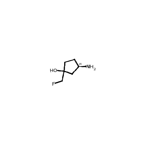 N[C@@H]1CCC(O)(CF)C1